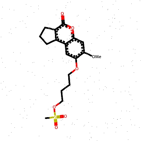 COc1cc2oc(=O)c3c(c2cc1OCCCCOS(C)(=O)=O)CCC3